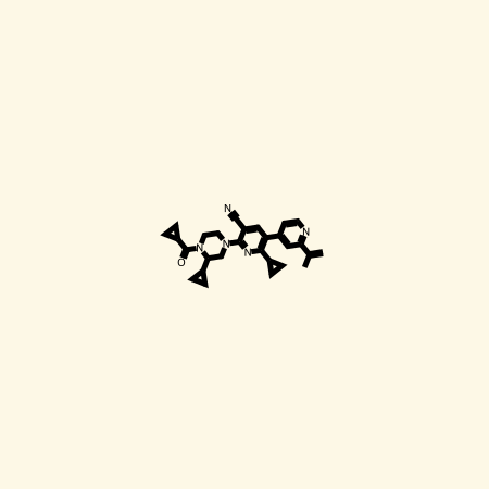 C=C(C)c1cc(-c2cc(C#N)c(N3CCN(C(=O)C4CC4)C(C4CC4)C3)nc2C2CC2)ccn1